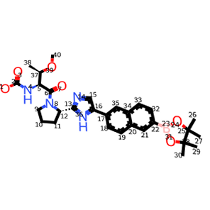 COC(=O)N[C@H](C(=O)N1CCC[C@H]1c1ncc(-c2ccc3cc(B4OC(C)(C)C(C)(C)O4)ccc3c2)[nH]1)[C@@H](C)OC